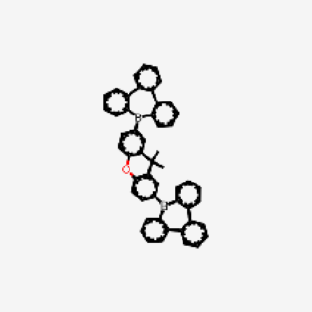 CC1(C)c2cc(B3c4ccccc4-c4ccccc4-c4ccccc43)ccc2Oc2ccc(B3c4ccccc4-c4ccccc4-c4ccccc43)cc21